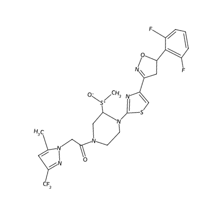 Cc1cc(C(F)(F)F)nn1CC(=O)N1CCN(c2nc(C3=NOC(c4c(F)cccc4F)C3)cs2)C([S+](C)[O-])C1